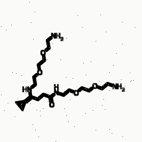 NCCOCCOCCNC(=O)CCC(NCCOCCOCCN)=C1CC1